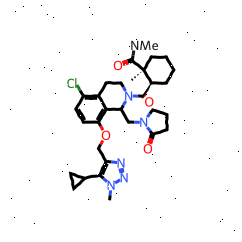 CNC(=O)[C@@]1(C)CCCC[C@H]1C(=O)N1CCc2c(Cl)ccc(OCc3nnn(C)c3C3CC3)c2C1CN1CCCC1=O